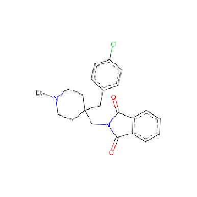 CCN1CCC(Cc2ccc(Cl)cc2)(CN2C(=O)c3ccccc3C2=O)CC1